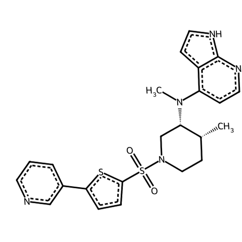 C[C@@H]1CCN(S(=O)(=O)c2ccc(-c3cccnc3)s2)C[C@@H]1N(C)c1ccnc2[nH]ccc12